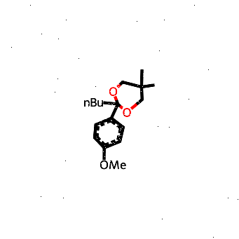 CCCCC1(c2ccc(OC)cc2)OCC(C)(C)CO1